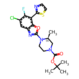 C[C@H]1CN(C(=O)OC(C)(C)C)CCN1c1nc2cc(Cl)c(F)c(-c3nccs3)c2o1